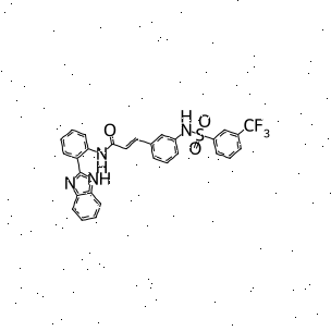 O=C(/C=C/c1cccc(NS(=O)(=O)c2cccc(C(F)(F)F)c2)c1)Nc1ccccc1-c1nc2ccccc2[nH]1